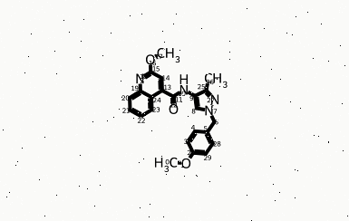 COc1ccc(Cn2cc(NC(=O)c3cc(OC)nc4ccccc34)c(C)n2)cc1